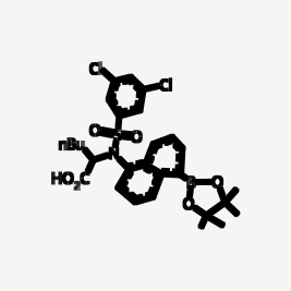 CCCCC(C(=O)O)N(c1cccc2c(B3OC(C)(C)C(C)(C)O3)cccc12)S(=O)(=O)c1cc(Cl)cc(Cl)c1